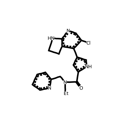 CCN(Cc1ccccn1)C(=O)c1cc(-c2c(Cl)cnc3c2CCN3)c[nH]1